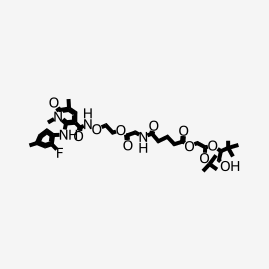 Cc1ccc(Nc2c(C(=O)NOCCOC(=O)CNC(=O)CCCC(=O)OCC(OC(CO)C(C)(C)C)OC(C)(C)C)cc(C)c(=O)n2C)c(F)c1